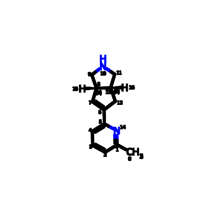 Cc1cccc(C2=C[C@@H]3CNC[C@@H]3C2)n1